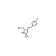 C=C1C=C(OCc2ccc(F)cc2)[C@H](CC(C)C)N1